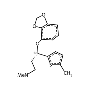 CNCC[C@H](Oc1cccc2c1OCO2)c1ccc(C)s1